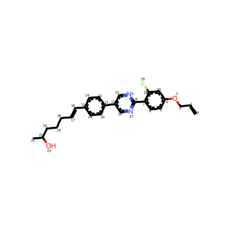 C=CCOc1ccc(-c2ncc(-c3ccc(/C=C/CCCC(C)O)cc3)cn2)c(F)c1